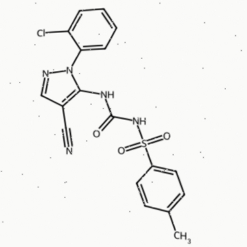 Cc1ccc(S(=O)(=O)NC(=O)Nc2c(C#N)cnn2-c2ccccc2Cl)cc1